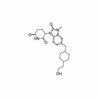 Cn1c(=O)n(C2CCC(=O)NC2=O)c2ccc(CC3CCC(CCO)CC3)cc21